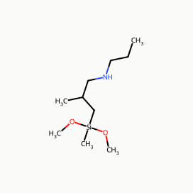 CCCNCC(C)C[Si](C)(OC)OC